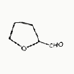 O=CC1CCCO1